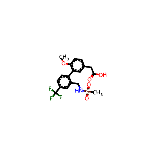 COc1ccc(CC(=O)O)cc1-c1ccc(C(F)(F)F)cc1CNS(C)(=O)=O